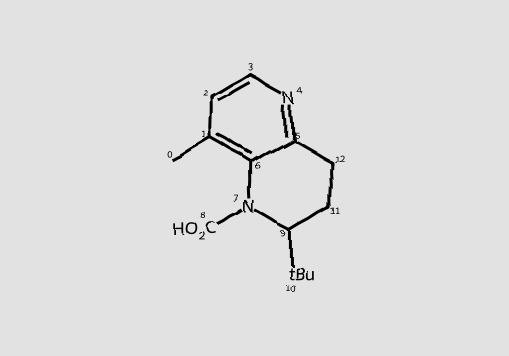 Cc1ccnc2c1N(C(=O)O)C(C(C)(C)C)CC2